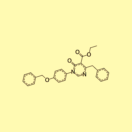 CCOC(=O)c1c(Cc2ccccc2)ncn(-c2ccc(OCc3ccccc3)cc2)c1=O